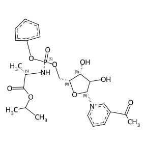 CC(=O)c1ccc[n+]([C@@H]2O[C@H](CO[P@@](=O)(N[C@@H](C)C(=O)OC(C)C)Oc3ccccc3)[C@H](O)C2O)c1